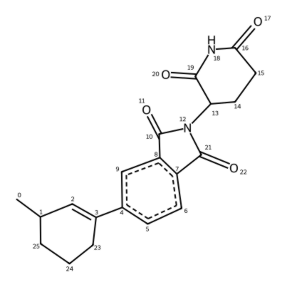 CC1C=C(c2ccc3c(c2)C(=O)N(C2CCC(=O)NC2=O)C3=O)CCC1